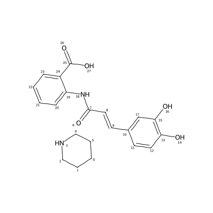 C1CCNCC1.O=C(/C=C/c1ccc(O)c(O)c1)Nc1ccccc1C(=O)O